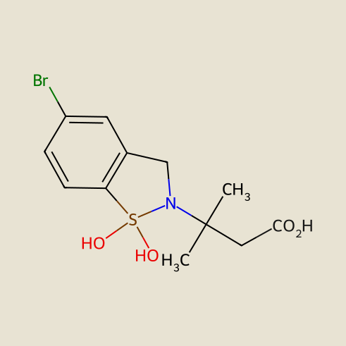 CC(C)(CC(=O)O)N1Cc2cc(Br)ccc2S1(O)O